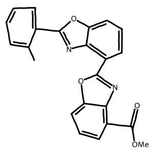 COC(=O)c1cccc2oc(-c3cccc4oc(-c5ccccc5C)nc34)nc12